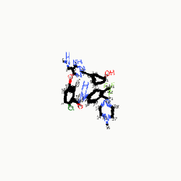 CN/C=C1\C(=N)N=C(c2cccc(O)c2)N=C1Oc1ccc(Cl)c(C(=O)Nc2ccc(CN3CCN(C)CC3)c(C(F)(F)F)c2)c1